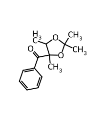 CC1OC(C)(C)OC1(C)C(=O)c1ccccc1